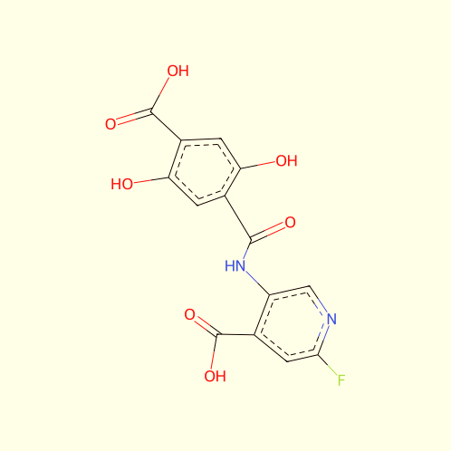 O=C(O)c1cc(O)c(C(=O)Nc2cnc(F)cc2C(=O)O)cc1O